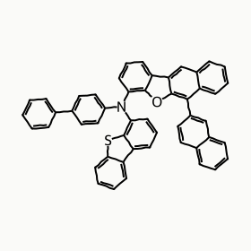 c1ccc(-c2ccc(N(c3cccc4c3oc3c(-c5ccc6ccccc6c5)c5ccccc5cc34)c3cccc4c3sc3ccccc34)cc2)cc1